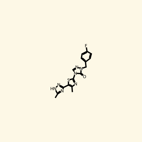 Cc1nc(-c2sc(-n3cnn(Cc4ccc(F)cc4)c3=O)nc2C)n[nH]1